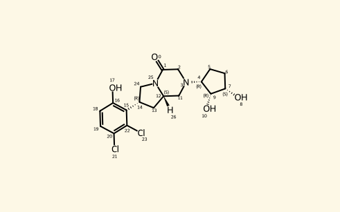 O=C1CN([C@@H]2CC[C@H](O)[C@@H]2O)C[C@@H]2C[C@H](c3c(O)ccc(Cl)c3Cl)CN12